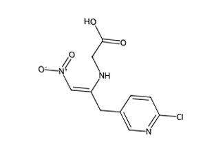 O=C(O)CNC(=C[N+](=O)[O-])Cc1ccc(Cl)nc1